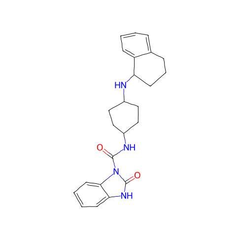 O=C(NC1CCC(NC2CCCc3ccccc32)CC1)n1c(=O)[nH]c2ccccc21